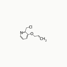 C=CCOc1cccnc1CCl